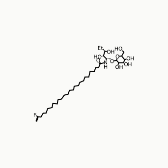 C=C(F)CCCCCCCCCCCCCCCCCCCCCCCC(=O)N[C@@H](COC1OC(CO)C(O)C(O)C1O)[C@H](O)[C@H](O)CC